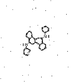 c1ccc(Nc2cc3c4ccccc4c(Nc4ccccc4)cc3c3ccccc23)cc1